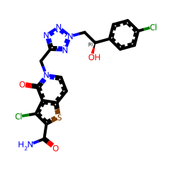 NC(=O)c1sc2ccn(Cc3nnn(C[C@H](O)c4ccc(Cl)cc4)n3)c(=O)c2c1Cl